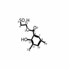 O=C(OCCS(=O)(=O)O)c1cc(I)cc(I)c1O